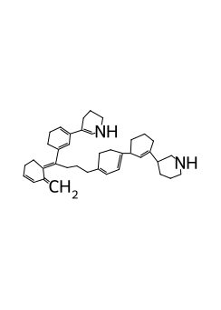 C=C1C=CCC/C1=C(/CCCC1=CC=C(C2C=C(C3CCCNC3)CCC2)CC1)C1=CC(C2=CNCCC2)=CCC1